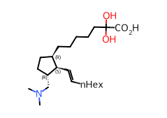 CCCCCCC=C[C@@H]1[C@H](CCCCCC(O)(O)C(=O)O)CC[C@H]1CN(C)C